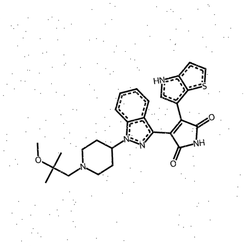 COC(C)(C)CN1CCC(n2nc(C3=C(c4c[nH]c5ccsc45)C(=O)NC3=O)c3ccccc32)CC1